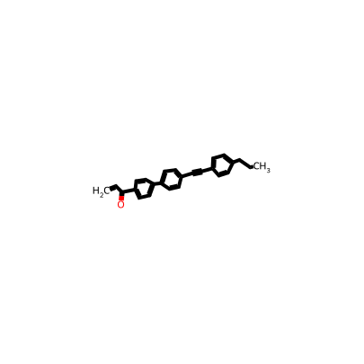 C=CC(=O)c1ccc(-c2ccc(C#Cc3ccc(CCC)cc3)cc2)cc1